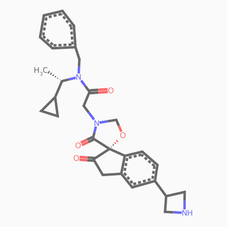 C[C@@H](C1CC1)N(Cc1ccccc1)C(=O)CN1CO[C@]2(C(=O)Cc3cc(C4CNC4)ccc32)C1=O